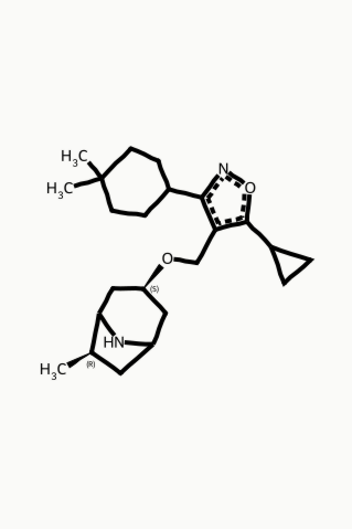 C[C@@H]1CC2C[C@H](OCc3c(C4CCC(C)(C)CC4)noc3C3CC3)CC1N2